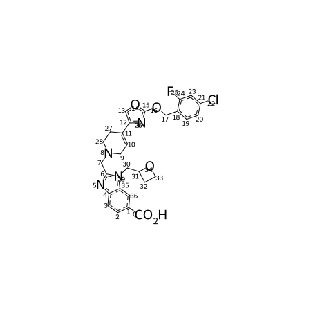 O=C(O)c1ccc2nc(CN3CC=C(c4coc(OCc5ccc(Cl)cc5F)n4)CC3)n(CC3CCO3)c2c1